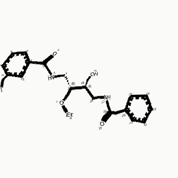 CCO[C@H](CNC(=O)c1cccc(Cl)c1)[C@@H](O)CNC(=O)c1ccccc1